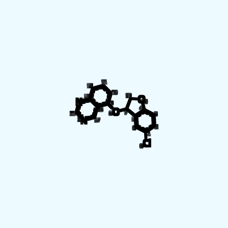 Clc1ccc2c(c1)C(Oc1cccc3ncncc13)CO2